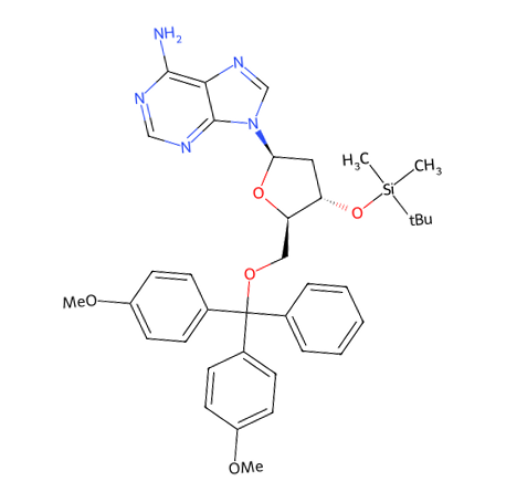 COc1ccc(C(OC[C@H]2O[C@@H](n3cnc4c(N)ncnc43)C[C@@H]2O[Si](C)(C)C(C)(C)C)(c2ccccc2)c2ccc(OC)cc2)cc1